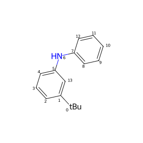 CC(C)(C)c1cccc(Nc2ccccc2)c1